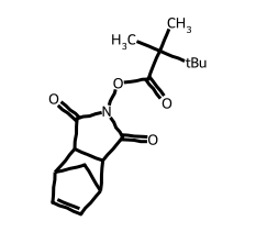 CC(C)(C)C(C)(C)C(=O)ON1C(=O)C2C3C=CC(C3)C2C1=O